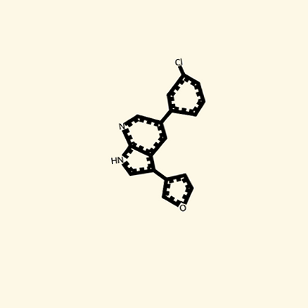 Clc1cccc(-c2cnc3[nH]cc(-c4ccoc4)c3c2)c1